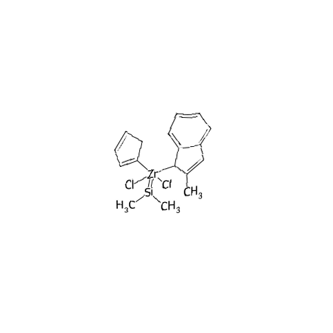 CC1=Cc2ccccc2[CH]1[Zr]([Cl])([Cl])([C]1=CC=CC1)=[Si](C)C